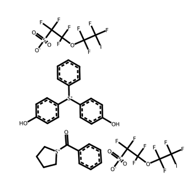 O=C(c1ccccc1)[S+]1CCCC1.O=S(=O)([O-])C(F)(F)C(F)(F)OC(F)(F)C(F)(F)I.O=S(=O)([O-])C(F)(F)C(F)(F)OC(F)(F)C(F)(F)I.Oc1ccc([S+](c2ccccc2)c2ccc(O)cc2)cc1